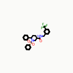 O=C(NCc1cccc(C(F)(F)F)c1)C1CCC(c2ccccc2)N(S(=O)(=O)c2ccccc2)C1